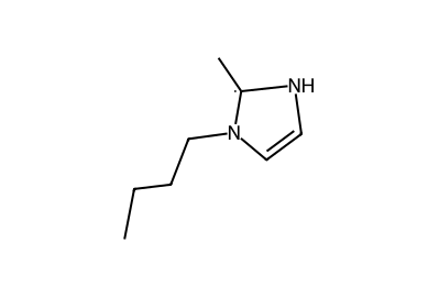 CCCCN1C=CN[C]1C